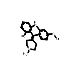 CCOc1ccc2c(c1)Nc1cccc(O)c1C2=C1CCN(C)CC1